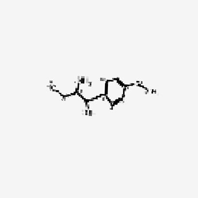 CSc1ccc(C(O)C(N)CO)cc1